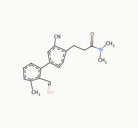 B=Cc1c(C)cccc1-c1ccc(CCC(=O)N(C)C)c(C#N)c1